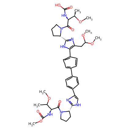 COC(=O)N[C@H](C(=O)N1CCC[C@H]1c1nc(-c2ccc(-c3ccc(-c4[nH]c([C@@H]5CCCN5C(=O)[C@@H](NC(=O)O)[C@@H](C)OC)nc4CC(OC)OC)cc3)cc2)c[nH]1)C(C)OC